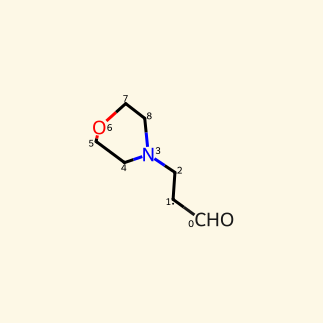 O=C[CH]CN1CCOCC1